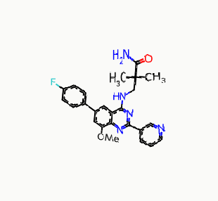 COc1cc(-c2ccc(F)cc2)cc2c(NCC(C)(C)C(N)=O)nc(-c3cccnc3)nc12